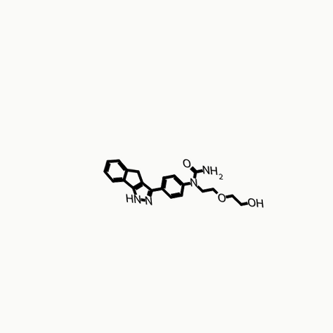 NC(=O)N(CCOCCO)c1ccc(-c2n[nH]c3c2Cc2ccccc2-3)cc1